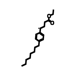 CCCCCCCCc1ccc([CH]CCC(=O)OCC)cc1